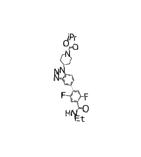 CCNC(=O)c1cc(F)c(-c2ccc3c(c2)nnn3C2CCN(C(=O)OC(C)C)CC2)cc1F